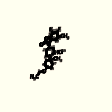 CCO[C@H]1CC[C@](C)(N2CCC(n3c(=O)oc4c(F)c(F)c(C)cc43)CC2)CC1.Cl